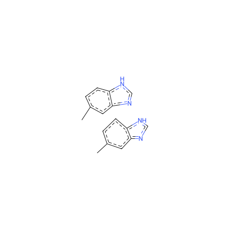 Cc1ccc2[nH]cnc2c1.Cc1ccc2[nH]cnc2c1